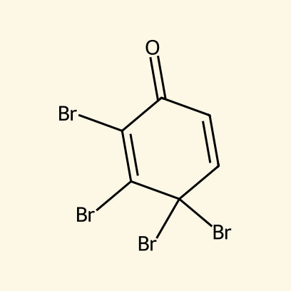 O=C1C=CC(Br)(Br)C(Br)=C1Br